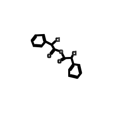 O=C(OC(=O)C(Cl)c1ccccc1)C(Cl)c1ccccc1